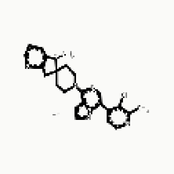 Cc1nccc(-c2cnc(N3CCC4(CC3)Cc3ncccc3[C@H]4N)c3ccnn23)c1Cl.Cl